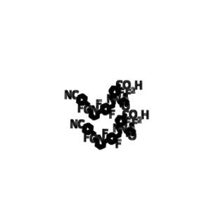 N#Cc1ccc(COc2cccc(-c3cc(F)c(Cc4nc5ccc(C(=O)O)cc5n4[C@H]4COC[C@H]4C(F)F)cc3F)n2)c(F)c1.N#Cc1ccc(COc2cccc(-c3cc(F)c(Cc4nc5ccc(C(=O)O)cc5n4[C@H]4COC[C@H]4C(F)F)cc3F)n2)c(F)c1